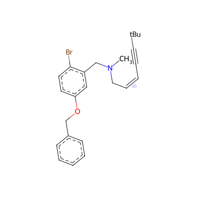 CN(C/C=C\C#CC(C)(C)C)Cc1cc(OCc2ccccc2)ccc1Br